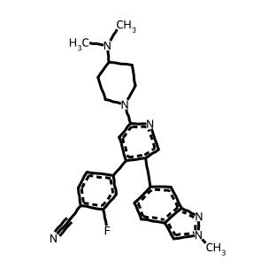 CN(C)C1CCN(c2cc(-c3ccc(C#N)c(F)c3)c(-c3ccc4cn(C)nc4c3)cn2)CC1